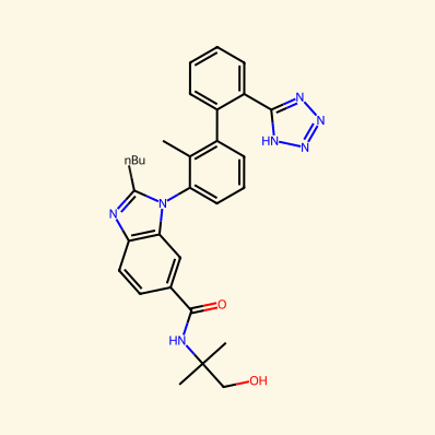 CCCCc1nc2ccc(C(=O)NC(C)(C)CO)cc2n1-c1cccc(-c2ccccc2-c2nnn[nH]2)c1C